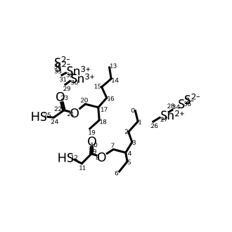 CCCCC(CC)COC(=O)CS.CCCCC(CC)COC(=O)CS.[CH3][Sn+2][CH3].[CH3][Sn+3].[CH3][Sn+3].[S-2].[S-2].[S-2].[S-2]